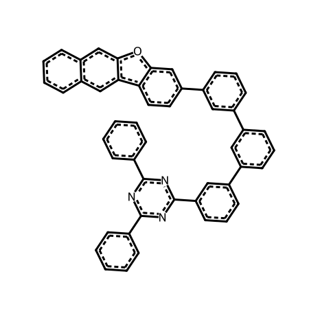 c1ccc(-c2nc(-c3ccccc3)nc(-c3cccc(-c4cccc(-c5cccc(-c6ccc7c(c6)oc6cc8ccccc8cc67)c5)c4)c3)n2)cc1